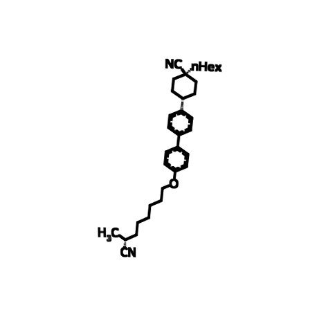 CCCCCC[C@]1(C#N)CC[C@H](c2ccc(-c3ccc(OCCCCCC[C@@H](C)C#N)cc3)cc2)CC1